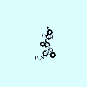 N[C@@H]1CCN(C(=O)N2CCC(Cn3cnc4ccc(F)cc4c3=O)C3(CCCC3)C2)[C@H](c2ccccc2)C1